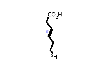 [2H]CC/C=C/CC(=O)O